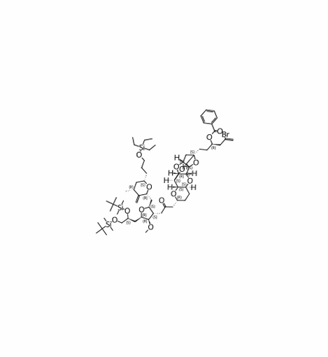 C=C(Br)C[C@@H](CC[C@@]12C[C@H]3O[C@H]4[C@@H](O1)[C@H]1O[C@@H](CC(=O)C[C@@H]5[C@@H](OC)[C@@H](C[C@@H](CO[Si](C)(C)C(C)(C)C)O[Si](C)(C)C(C)(C)C)O[C@H]5C[C@H]5O[C@@H](CCCO[Si](CC)(CC)CC)C[C@@H](C)C5=C)CC[C@@H]1O[C@H]4[C@H]3O2)OC(=O)c1ccccc1